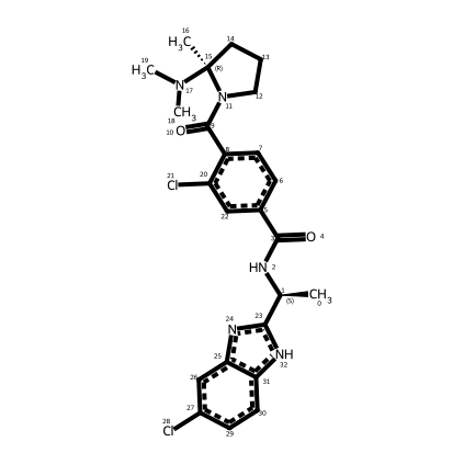 C[C@H](NC(=O)c1ccc(C(=O)N2CCC[C@]2(C)N(C)C)c(Cl)c1)c1nc2cc(Cl)ccc2[nH]1